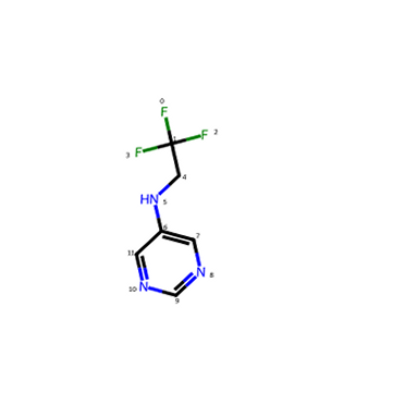 FC(F)(F)CNc1cncnc1